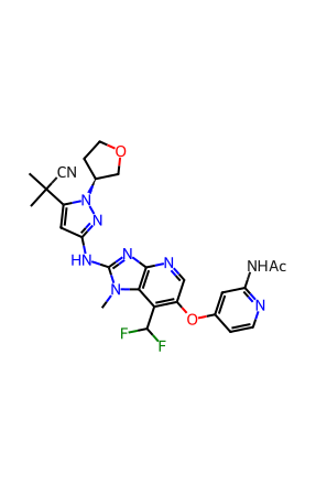 CC(=O)Nc1cc(Oc2cnc3nc(Nc4cc(C(C)(C)C#N)n([C@H]5CCOC5)n4)n(C)c3c2C(F)F)ccn1